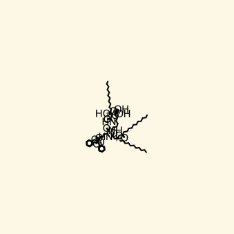 CCCCCCCCCCCC(=O)O[C@H](CCCCCCCCCCC)CC(=O)NC(CCOP(=O)(Oc1ccccc1)Oc1ccccc1)C(=O)NCCCC(COP(=O)(O)O)NC(=O)C[C@H](O)CCCCCCCCCCC